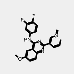 C=N/C=C(\C=C/C)c1nc(Nc2ccc(F)c(F)c2)c2cc(OC)ccc2n1